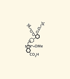 COCCn1c(CN2CCC(c3cccc(OCOCC[Si](C)(C)C)c3OCOCC[Si](C)(C)C)CC2)nc2ccc(C(=O)O)cc21